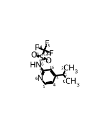 CC(C)c1ccnc(NS(=O)(=O)C(F)(F)F)c1